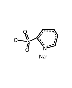 O=S(=O)([O-])c1ccccn1.[Na+]